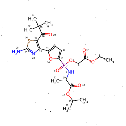 CCOC(=O)COP(=O)(N[C@@H](C)C(=O)OC(C)C)c1ccc(-c2nc(N)sc2C(=O)C(C)(C)C)o1